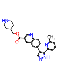 Cc1cccc(-c2[nH]ncc2-c2ccc3ncc(C(=O)OCC4CCNCC4)cc3c2)n1